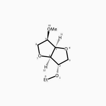 CCO[C@H]1CO[C@H]2[C@@H]1OC[C@H]2OC